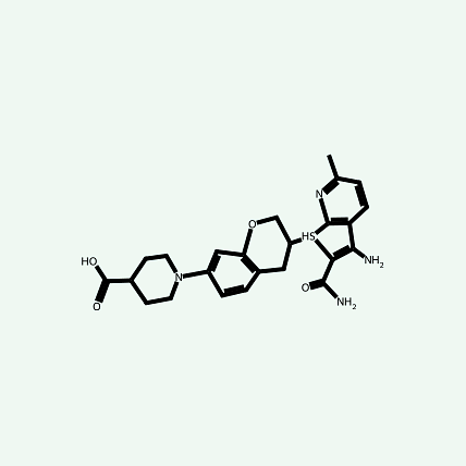 Cc1ccc2c(n1)[SH](C1COc3cc(N4CCC(C(=O)O)CC4)ccc3C1)C(C(N)=O)=C2N